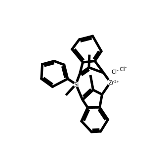 CC1=C2c3ccccc3[CH]1[Zr+2][CH]1C(C)=C(c3ccccc31)[Si]2(C)c1ccccc1.[Cl-].[Cl-]